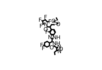 CCc1nonc1C(=O)N[C@H](c1nc2c(F)c(C(CCS(=O)(=O)CC)C(=O)N3C(F)C(F)C(F)C3F)ccc2[nH]1)C1CCC(F)(F)CC1